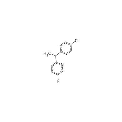 CC(c1ccc(Cl)cc1)c1ccc(F)cn1